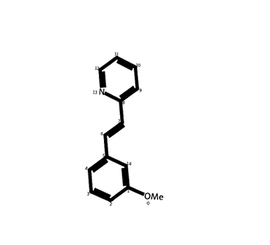 COc1[c]ccc(C=Cc2ccccn2)c1